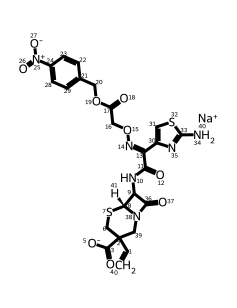 C=CC1(C(=O)[O-])CS[C@@H]2C(NC(=O)C(=NOCC(=O)OCc3ccc([N+](=O)[O-])cc3)c3csc(N)n3)C(=O)N2C1.[Na+]